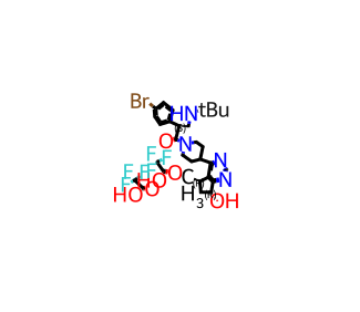 C[C@@H]1C[C@@H](O)c2ncnc(C3CCN(C(=O)[C@H](CNC(C)(C)C)c4ccc(Br)cc4)CC3)c21.O=C(O)C(F)(F)F.O=C(O)C(F)(F)F